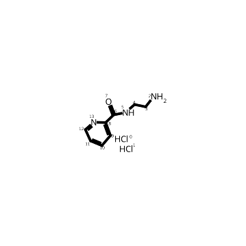 Cl.Cl.NCCNC(=O)c1ccccn1